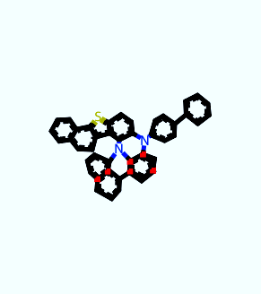 c1ccc(-c2ccc(N(c3ccccc3)c3ccc4sc5c6ccccc6ccc5c4c3N(c3ccccc3)c3ccccc3-c3ccccc3)cc2)cc1